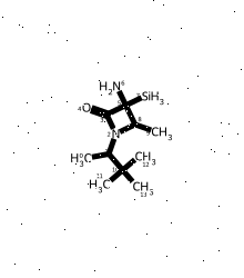 CC(N1C(=O)C(N)([SiH3])C1C)C(C)(C)C